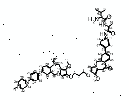 COc1c(OCCCOc2cn3c(c2OC)C=[N+]([O-])C2=CC=C(c4ccc(N5CCN(C)CC5)cc4)CC2C3)cn2c1C=[N+]([O-])C1=CC=C(c3ccc(NC(=O)C(C)NC(=O)C(N)C(C)C)cc3)CC1C2